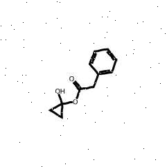 O=C(Cc1ccccc1)OC1(O)CC1